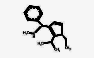 CC[C@@H]1C=CC(N(NC)c2ccccc2)=C1C(C)C